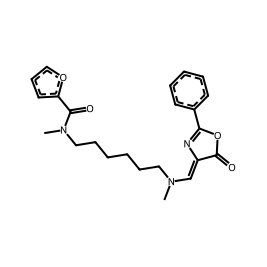 CN(C=C1N=C(c2ccccc2)OC1=O)CCCCCCN(C)C(=O)c1ccco1